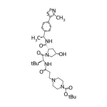 Cc1ncsc1-c1ccc([C@H](C)NC(=O)[C@@H]2C[C@@H](O)CN2C(=O)[C@@H](NC(=O)CCN2CCN(C(=O)OC(C)(C)C)CC2)C(C)(C)C)cc1